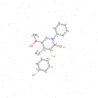 CC(=O)c1cn(-c2ccccc2)c(=O)c(Sc2ccc(F)cc2)c1C